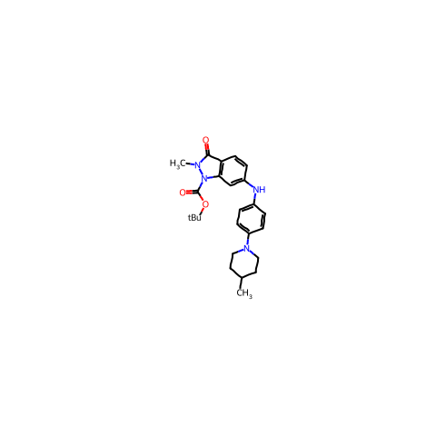 CC1CCN(c2ccc(Nc3ccc4c(=O)n(C)n(C(=O)OC(C)(C)C)c4c3)cc2)CC1